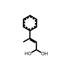 CC(=CC(O)O)c1ccccc1